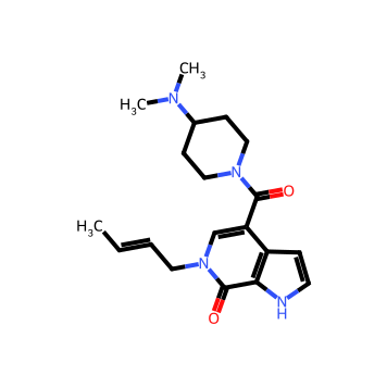 C/C=C/Cn1cc(C(=O)N2CCC(N(C)C)CC2)c2cc[nH]c2c1=O